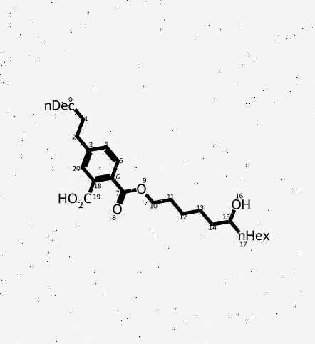 CCCCCCCCCCCCc1ccc(C(=O)OCCCCCC(O)CCCCCC)c(C(=O)O)c1